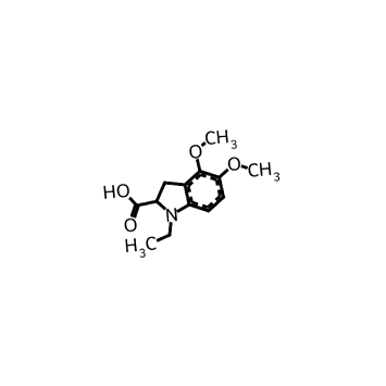 CCN1c2ccc(OC)c(OC)c2CC1C(=O)O